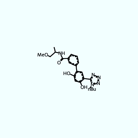 CCCCn1nnnc1-c1cc(-c2cccc(C(=O)NC(C)COC)c2)c(O)cc1O